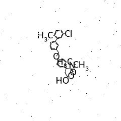 Cc1ccc(Cl)cc1-c1cccc(COc2ccc(C(CC(=O)O)C(=O)N(C)C)cc2)c1